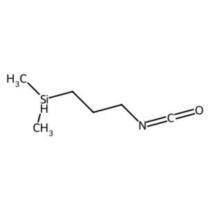 C[SiH](C)CCCN=C=O